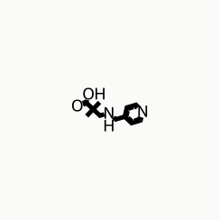 CC(C)(CNCc1ccncc1)C(=O)O